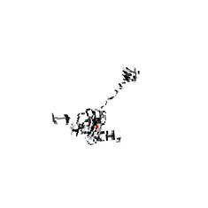 C=C1C(=O)C23CC[C@H]1CC2[C@@]12CCC[C@@](C)(COC1=O)C2C[C@H]3OC(=O)CCCCCCCCCN=[N+]=[N-]